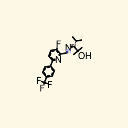 CC(C)[C@@H](/N=C/c1nc(-c2ccc(C(F)(F)F)cc2)ccc1F)C(C)(C)O